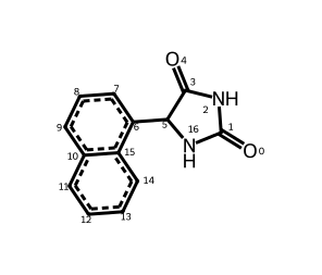 O=C1NC(=O)C(c2cccc3ccccc23)N1